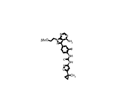 COCCn1nc(-c2ccc(NC(=O)Nc3cc(C4(C)CC4)on3)c(F)c2)c2c(N)ncnc21